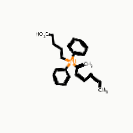 C=C(/C=C\C=C/C)[PH](CCCCC(=O)O)(c1ccccc1)c1ccccc1